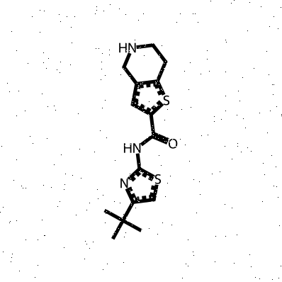 CC(C)(C)c1csc(NC(=O)c2cc3c(s2)CCNC3)n1